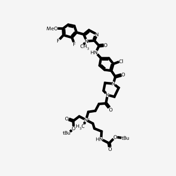 COc1ccc(-c2cnc(C(=O)Nc3ccc(C(=O)N4CCN(C(=O)CCC[N+](C)(CCCNC(=O)OC(C)(C)C)CC(=O)OC(C)(C)C)CC4)c(Cl)c3)n2C)c(F)c1F